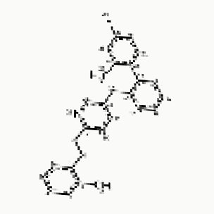 Cc1ccccc1CCc1ncc(Cc2ncccc2-c2ccc(F)cc2C)cn1